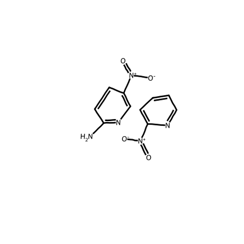 Nc1ccc([N+](=O)[O-])cn1.O=[N+]([O-])c1ccccn1